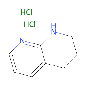 Cl.Cl.c1cnc2c(c1)CCCN2